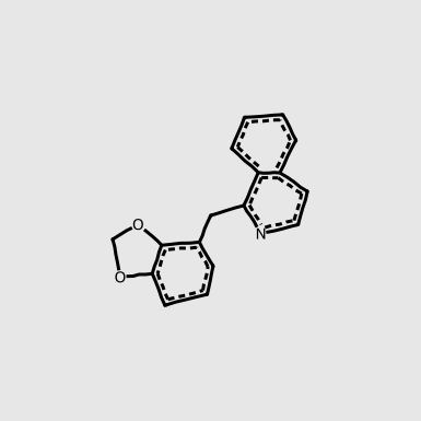 c1cc(Cc2nccc3ccccc23)c2c(c1)OCO2